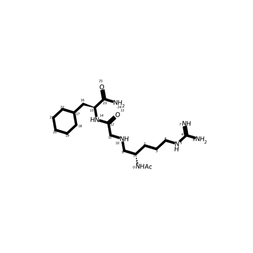 CC(=O)N[C@@H](CCCNC(=N)N)CNCC(=O)N[C@@H](CC1CCCCC1)C(N)=O